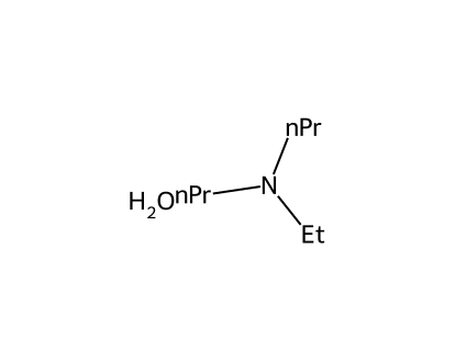 CCCN(CC)CCC.O